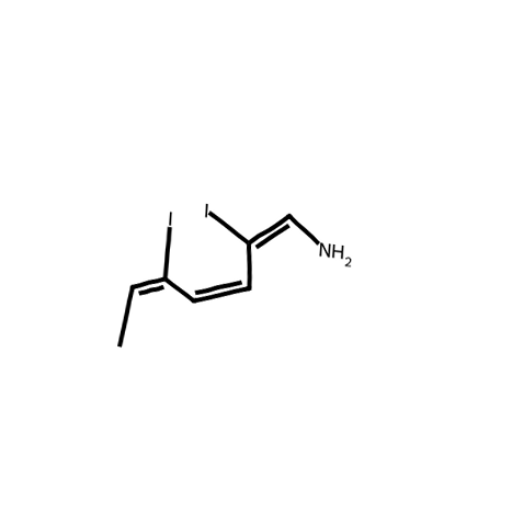 C\C=C(I)/C=C\C(I)=C/N